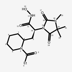 CCC(=O)N1CCCCC1C[C@@H](C(=O)NO)N1C(=O)N(C)C(C)(C)C1=O